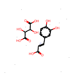 O=C(O)/C=C/c1ccc(O)c(O)c1.O=C(O)C(O)C(O)C(=O)O